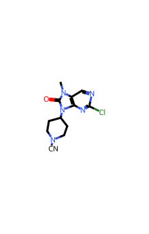 Cn1c(=O)n(C2CCN(C#N)CC2)c2nc(Cl)ncc21